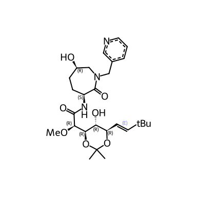 CO[C@@H](C(=O)N[C@H]1CC[C@@H](O)CN(Cc2cccnc2)C1=O)[C@@H]1OC(C)(C)O[C@H](/C=C/C(C)(C)C)[C@H]1O